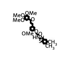 COc1ccc(/C=C/C(=O)c2cc(OC)c(OC)c(OC)c2)cc1OCC(=O)Nc1nc2cc(C)c(C)cc2s1